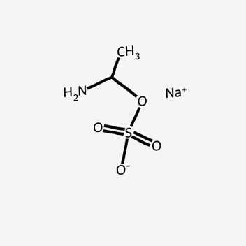 CC(N)OS(=O)(=O)[O-].[Na+]